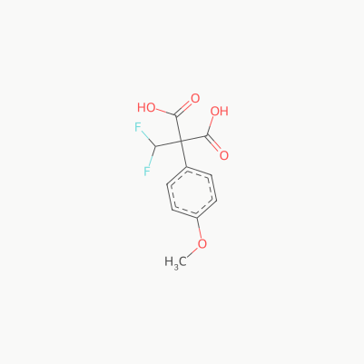 COc1ccc(C(C(=O)O)(C(=O)O)C(F)F)cc1